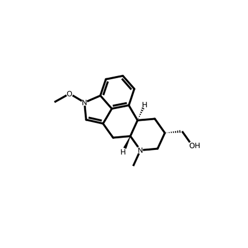 COn1cc2c3c(cccc31)[C@H]1C[C@H](CO)CN(C)[C@@H]1C2